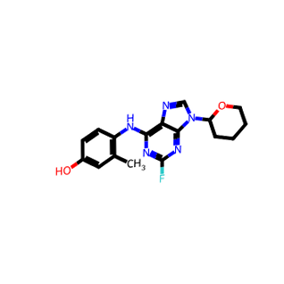 Cc1cc(O)ccc1Nc1nc(F)nc2c1ncn2C1CCCCO1